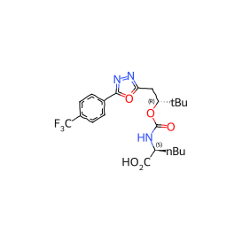 CCCC[C@H](NC(=O)O[C@H](Cc1nnc(-c2ccc(C(F)(F)F)cc2)o1)C(C)(C)C)C(=O)O